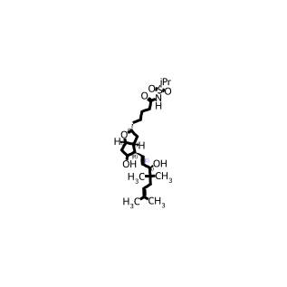 CC(C)=CCC(C)(C)[C@H](O)/C=C/[C@H]1C(O)C[C@@H]2O[C@H](CCCCC(=O)NS(=O)(=O)C(C)C)C[C@@H]21